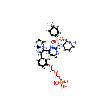 O=P(O)(O)OCOCOc1cccc(-c2nc3sccn3c2-c2ccnc(N([C@@H]3CCCNC3)S(=O)(=O)c3ccc(Cl)cc3)n2)c1